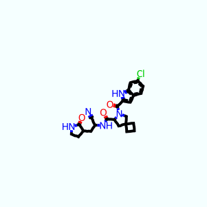 N#CC(CC1CCNC1=O)NC(=O)C1CC2(CCC2)CN1C(=O)c1cc2ccc(Cl)cc2[nH]1